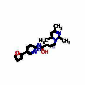 CC1=CC(C)=NC(C)N1/C=C\CC(O)Nc1ccc(-c2ccco2)cn1